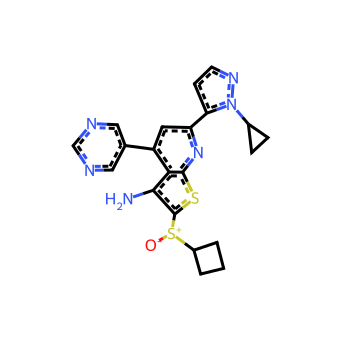 Nc1c([S+]([O-])C2CCC2)sc2nc(-c3ccnn3C3CC3)cc(-c3cncnc3)c12